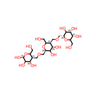 OCC1O[C@H](COC[C@@H]2C(CO)O[C@H](COC[C@@H]3C(CO)O[C@H](O)C(O)[C@@H]3O)C(O)[C@@H]2O)C(O)[C@H](O)[C@@H]1O